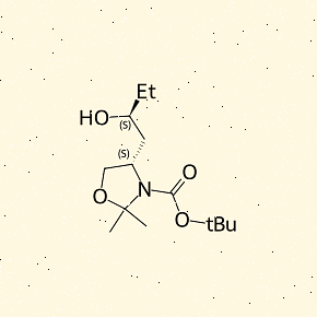 CC[C@H](O)C[C@H]1COC(C)(C)N1C(=O)OC(C)(C)C